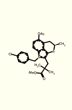 COC(=O)C(C)(C)Cc1c2c3c(c(OC(C)=O)ccc3n1Cc1ccc(Cl)cc1)C[C@@H](C)S2